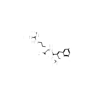 COC(=O)[C@H](CCCNC(N)=NO)NC(=O)C1=Cc2cc(Cl)cc(Cl)c2O[C@@H]1C(F)(F)F